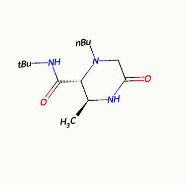 CCCCN1CC(=O)N[C@@H](C)[C@@H]1C(=O)NC(C)(C)C